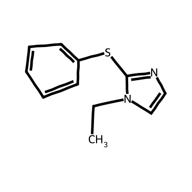 CCn1ccnc1Sc1ccccc1